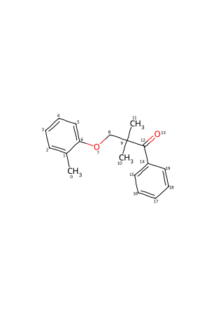 Cc1ccccc1OCC(C)(C)C(=O)c1ccccc1